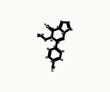 O=c1c2ccnn2cc(-c2ccc(Br)cc2)n1CBr